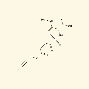 CC#CCOc1ccc(S(=O)(=O)N[C@H](C(=O)NO)C(C)O)cc1